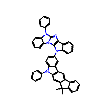 CC1(C)c2ccccc2-c2cc3c4cc(-n5c6ccccc6c6nc7n(-c8ccccc8)c8ccccc8n7c65)ccc4n(-c4ccccc4)c3cc21